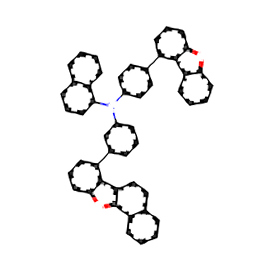 c1cc(-c2cccc3oc4c5ccccc5ccc4c23)cc(N(c2ccc(-c3cccc4oc5ccccc5c34)cc2)c2cccc3ccccc23)c1